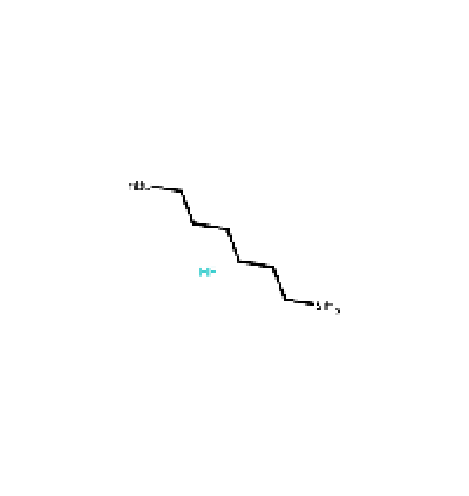 CCCCCCCCCC[SiH3].F